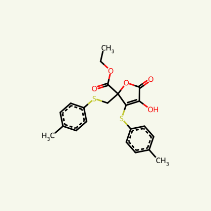 CCOC(=O)C1(CSc2ccc(C)cc2)OC(=O)C(O)=C1Sc1ccc(C)cc1